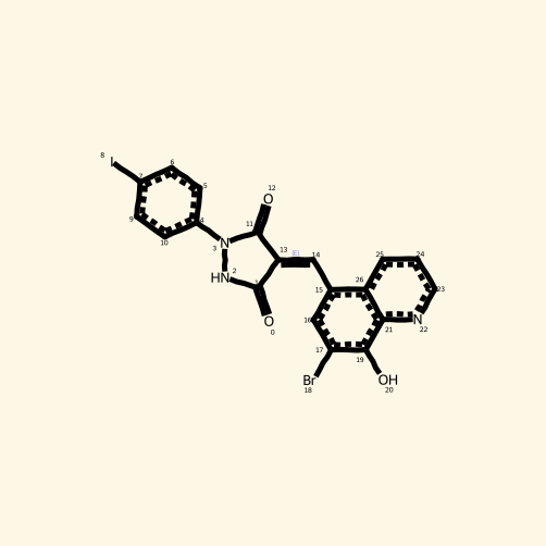 O=C1NN(c2ccc(I)cc2)C(=O)/C1=C/c1cc(Br)c(O)c2ncccc12